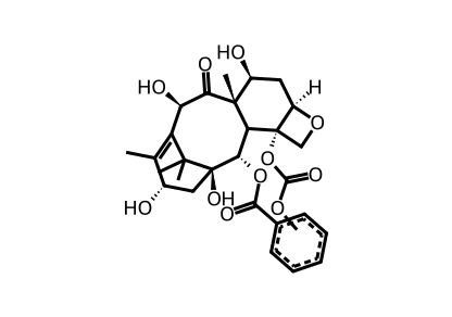 COC(=O)O[C@@]12CO[C@@H]1C[C@H](O)[C@@]1(C)C(=O)[C@H](O)C3=C(C)[C@@H](O)C[C@@](O)([C@@H](OC(=O)c4ccccc4)C12)C3(C)C